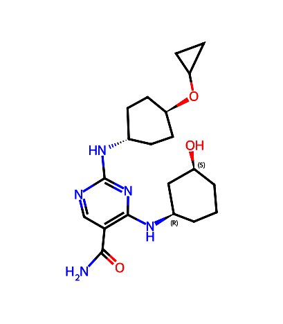 NC(=O)c1cnc(N[C@H]2CC[C@H](OC3CC3)CC2)nc1N[C@@H]1CCC[C@H](O)C1